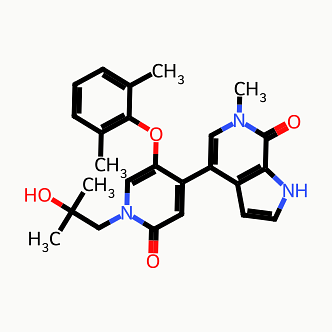 Cc1cccc(C)c1Oc1cn(CC(C)(C)O)c(=O)cc1-c1cn(C)c(=O)c2[nH]ccc12